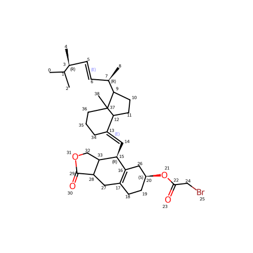 CC(C)[C@@H](C)/C=C/[C@@H](C)C1CCC2/C(=C/[C@H]3C4=C(CC[C@H](OC(=O)CBr)C4)CC4C(=O)OCC43)CCCC21C